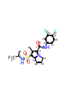 Cc1c(S(=O)(=O)NC(C)C(F)(F)F)c2n(c1C(=O)Nc1ccc(F)c(F)c1)CC=C2